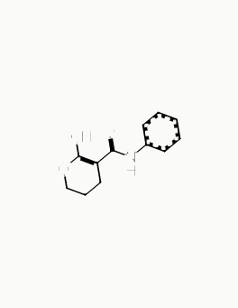 CC1=C(C(=O)Nc2ccccc2)CCCO1